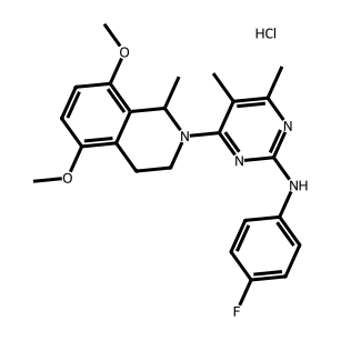 COc1ccc(OC)c2c1CCN(c1nc(Nc3ccc(F)cc3)nc(C)c1C)C2C.Cl